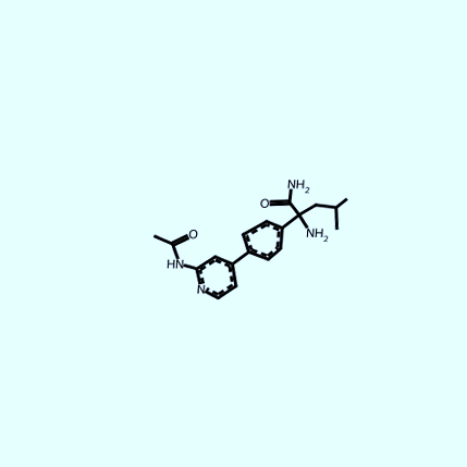 CC(=O)Nc1cc(-c2ccc(C(N)(CC(C)C)C(N)=O)cc2)ccn1